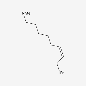 CNCCCCC/C=C\CC(C)C